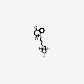 O=C1CCC(=O)N(CCCCN2C[C@@H]3CNC[C@H]32)c2ccccc21